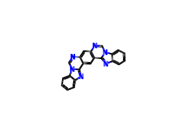 c1ccc2c(c1)nc1c3cc4c(cc3ncn21)ncn1c2ccccc2nc41